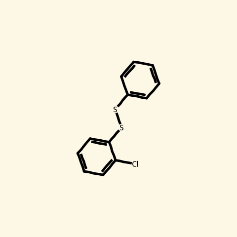 Clc1ccccc1SSc1ccccc1